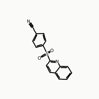 N#Cc1ccc(S(=O)(=O)c2ccc3ccccc3n2)cc1